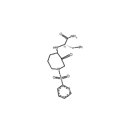 CC(C)C[C@H](NC1CCCN(S(=O)(=O)c2ccccn2)CC1=O)C(N)=O